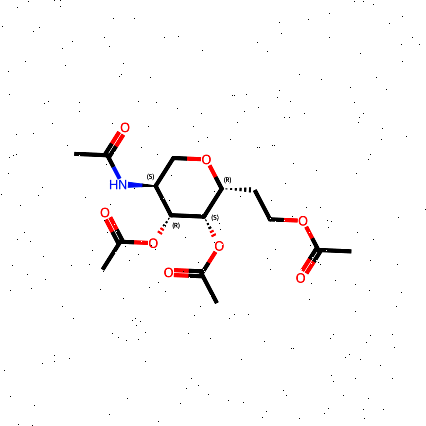 CC(=O)N[C@H]1CO[C@H](CCOC(C)=O)[C@H](OC(C)=O)[C@@H]1OC(C)=O